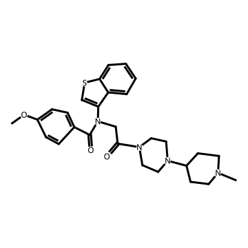 COc1ccc(C(=O)N(CC(=O)N2CCN(C3CCN(C)CC3)CC2)c2csc3ccccc23)cc1